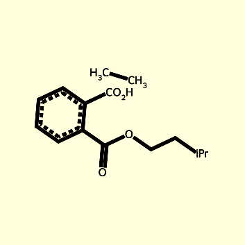 CC.CC(C)CCOC(=O)c1ccccc1C(=O)O